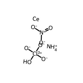 O=[N+]([O-])[O-].[Ce].[NH4+].[O-][Cl+3]([O-])([O-])O